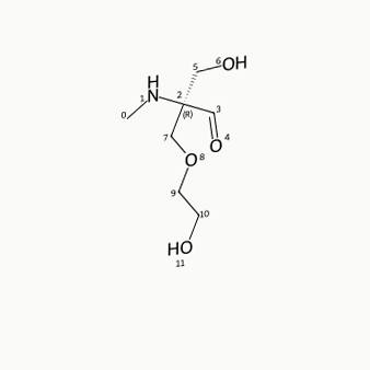 CN[C@](C=O)(CO)COCCO